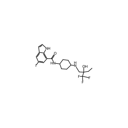 CCC(O)(CNC1CCC(NC(=O)c2cc(I)cc3cc[nH]c23)CC1)C(F)(F)F